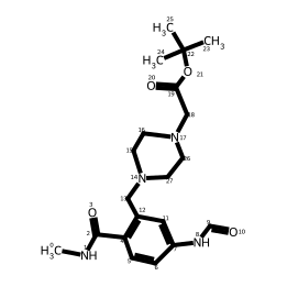 CNC(=O)c1ccc(NC=O)cc1CN1CCN(CC(=O)OC(C)(C)C)CC1